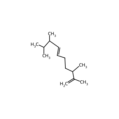 C=C(C)C(C)CCC=CC(C)C(C)C